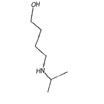 CC(C)NCCCCO